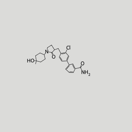 CC1(O)CCC(N2CCC(Cc3ccc(-c4cccc(C(N)=O)c4)cc3Cl)C2=O)CC1